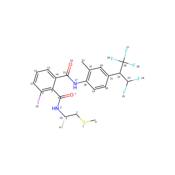 CSC[C@H](C)NC(=O)c1c(I)cccc1C(=O)Nc1ccc(C(C(F)F)C(F)(F)F)cc1C